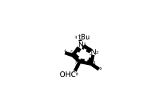 Cc1nn(C(C)(C)C)c(C)c1C=O